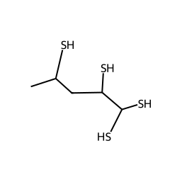 CC(S)CC(S)C(S)S